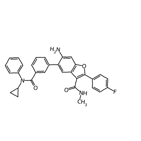 CNC(=O)c1c(-c2ccc(F)cc2)oc2cc(N)c(-c3cccc(C(=O)N(c4ccccc4)C4CC4)c3)cc12